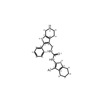 CC(=O)c1c(NC(=O)NCc2c(-c3ccccc3)sc3c2CCNC3)sc2c1CCCC2